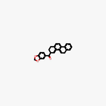 O=C(c1ccc2c(c1)OCO2)C1C=c2c(ccc3c2=CCc2ccccc2-3)CC1